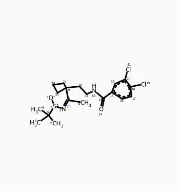 C/C(=N/[S+]([O-])C(C)(C)C)C1(CCNC(=O)c2ccc(Cl)c(Cl)c2)CCC1